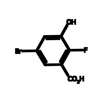 O=C(O)c1cc(Br)cc(O)c1F